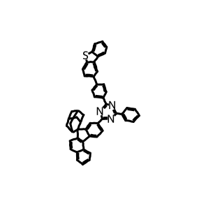 c1ccc(-c2nc(-c3ccc(-c4ccc5sc6ccccc6c5c4)cc3)nc(-c3ccc4c(c3)C3(c5ccc6ccccc6c5-4)C4CC5CC(C4)CC3C5)n2)cc1